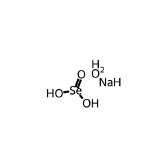 O.O=[Se](O)O.[NaH]